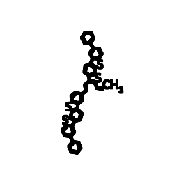 C/C=C\c1sc2c(ccc3c4cc(C5=CCCC=C5)ccc4sc32)c1/C=C/c1ccc2sc3c(ccc4c5cc(-c6ccccc6)ccc5sc43)c2c1